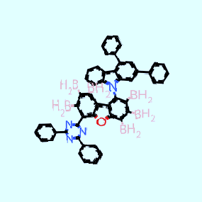 Bc1c(B)c(-n2c3ccccc3c3c(-c4ccccc4)cc(-c4ccccc4)cc32)c2c(oc3c(-c4nc(-c5ccccc5)nc(-c5ccccc5)n4)c(B)c(B)c(B)c32)c1B